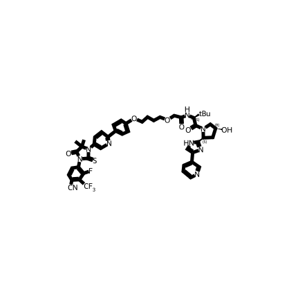 CC(C)(C)[C@H](NC(=O)COCCCCOc1ccc(-c2ccc(N3C(=S)N(c4ccc(C#N)c(C(F)(F)F)c4F)C(=O)C3(C)C)cn2)cc1)C(=O)N1C[C@H](O)C[C@H]1c1nc(-c2cccnc2)c[nH]1